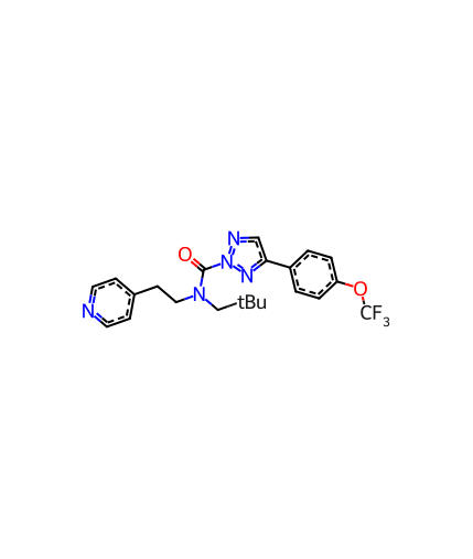 CC(C)(C)CN(CCc1ccncc1)C(=O)n1ncc(-c2ccc(OC(F)(F)F)cc2)n1